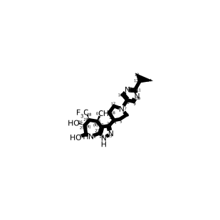 C[C@H]1c2c(C3CCN(c4cnc(C5CC5)nc4)CC3)n[nH]c2NC(O)[C@H](O)[C@@H]1C(F)(F)F